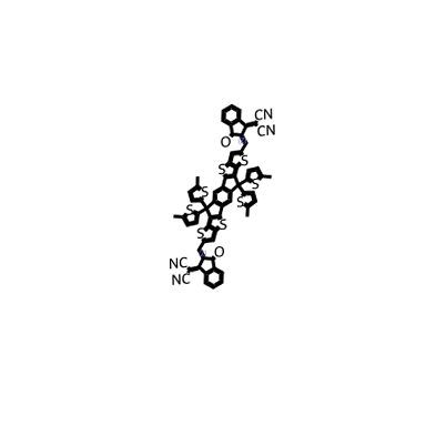 Cc1ccc(C2(c3ccc(C)s3)c3cc4c(cc3-c3sc5cc(/C=C6\C(=O)c7ccccc7C6=C(C#N)C#N)sc5c32)C(c2ccc(C)s2)(c2ccc(C)s2)c2c-4sc3cc(/C=C4\C(=O)c5ccccc5C4=C(C#N)C#N)sc23)s1